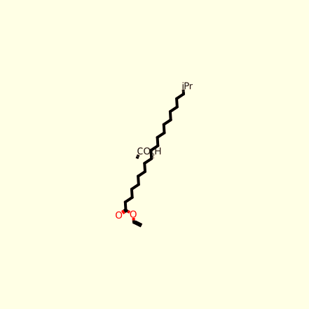 C=COC(=O)CCCCCCCCCCCCCCCCCCC(C)C.CC(=O)O